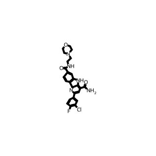 NC(=O)c1cc(-c2ccc(F)c(Cl)c2)nc2c1[nH]c1cc(C(=O)NCCN3CCOCC3)ccc12